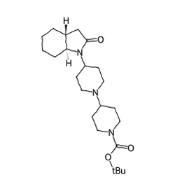 CC(C)(C)OC(=O)N1CCC(N2CCC(N3C(=O)C[C@H]4CCCC[C@@H]43)CC2)CC1